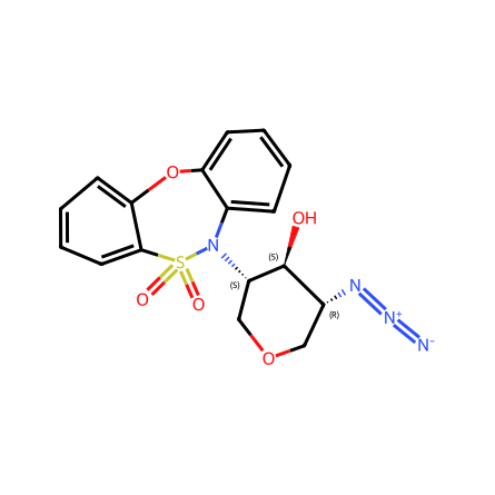 [N-]=[N+]=N[C@@H]1COC[C@H](N2c3ccccc3Oc3ccccc3S2(=O)=O)[C@H]1O